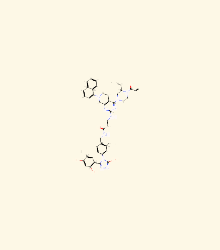 C=CC(=O)N1CCN(c2nc(NCCC(=O)NCc3ccc(-n4c(O)nnc4-c4cc(C(C)C)c(O)cc4O)cc3C(F)(F)F)nc3c2CCN(c2cccc4ccccc24)C3)CC1CC#N